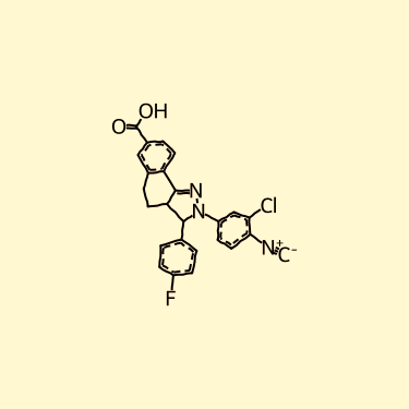 [C-]#[N+]c1ccc(N2N=C3c4ccc(C(=O)O)cc4CCC3C2c2ccc(F)cc2)cc1Cl